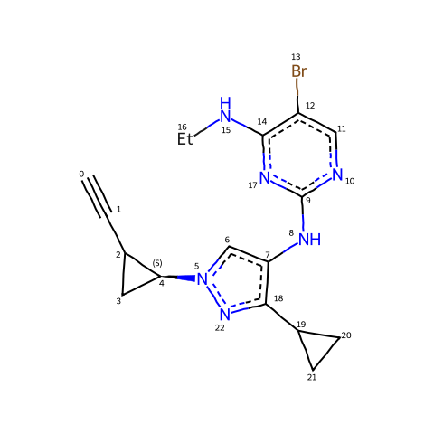 C#CC1C[C@@H]1n1cc(Nc2ncc(Br)c(NCC)n2)c(C2CC2)n1